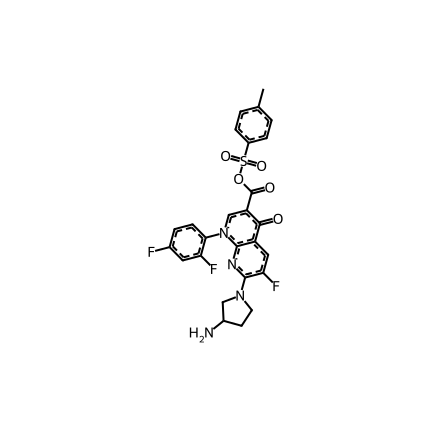 Cc1ccc(S(=O)(=O)OC(=O)c2cn(-c3ccc(F)cc3F)c3nc(N4CCC(N)C4)c(F)cc3c2=O)cc1